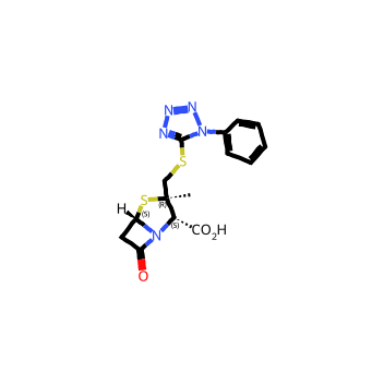 C[C@@]1(CSc2nnnn2-c2ccccc2)S[C@H]2CC(=O)N2[C@H]1C(=O)O